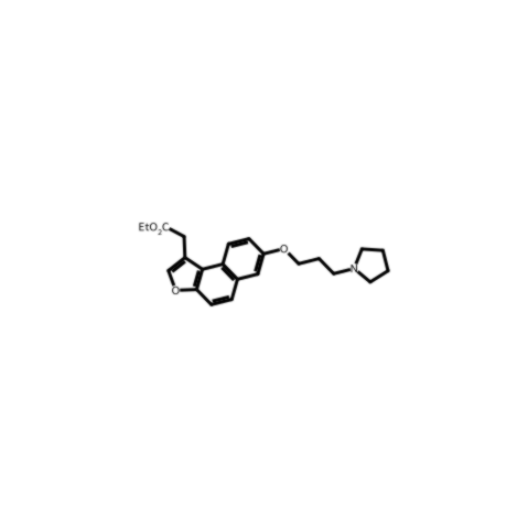 CCOC(=O)Cc1coc2ccc3cc(OCCCN4CCCC4)ccc3c12